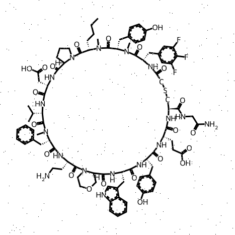 CCCC[C@H]1C(=O)N2CCC[C@@H]2C(=O)N[C@@H](CC(=O)O)C(=O)N[C@@H](C(C)C)C(=O)N(C)[C@@H](Cc2ccccc2)C(=O)N[C@@H](CCN)C(=O)N2CCOC[C@@H]2C(=O)N[C@@H](Cc2c[nH]c3ccccc23)C(=O)N[C@@H](Cc2ccc(O)cc2)C(=O)N[C@@H](CCC(=O)O)C(=O)N[C@H](C(=O)NCC(N)=O)CSCC(=O)N[C@@H](Cc2cc(F)c(F)c(F)c2)C(=O)N(C)[C@@H](Cc2ccc(O)cc2)C(=O)N1C